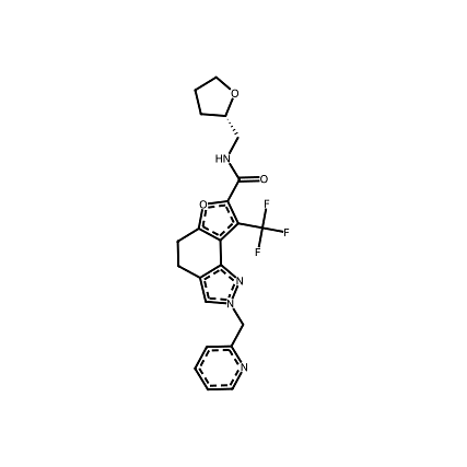 O=C(NC[C@@H]1CCCO1)c1oc2c(c1C(F)(F)F)-c1nn(Cc3ccccn3)cc1CC2